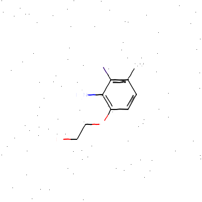 CNc1ccc(OCCO)c(N)c1I